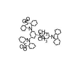 C[Si](C)(c1ccc(-n2c3ccccc3c3ccccc32)cc1)c1cc(N2c3ccccc3S(=O)(=O)c3ccccc32)cc(N2c3ccccc3S(=O)(=O)c3ccccc32)c1